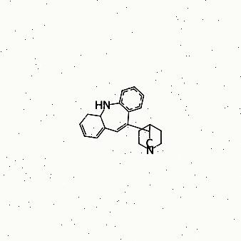 C1=CCC2Nc3ccccc3C(C3CN4CCC3CC4)=CC2=C1